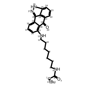 CC(C)(C)OC(=O)NCCCCCCCNc1cccc2c1C(=O)c1cccc3[nH]nc-2c13